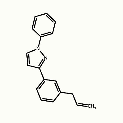 C=CCc1cccc(-c2ccn(-c3ccccc3)n2)c1